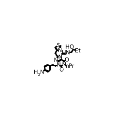 CCCn1c(=O)c2c(nc(Cc3cscn3)n2CCNCC(O)CC)n(CCc2ccc(N)cc2)c1=O